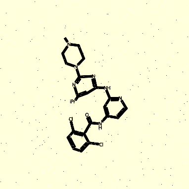 CC(C)c1cc(Nc2cc(NC(=O)c3c(Cl)cccc3Cl)ccn2)nc(N2CCN(C)CC2)n1